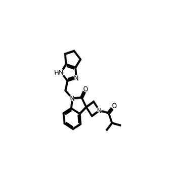 CC(C)C(=O)N1CC2(C1)C(=O)N(Cc1nc3c([nH]1)CCC3)c1ccccc12